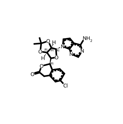 CC1(C)O[C@@H]2[C@H](O1)C([C@@H]1OC(=O)Cc3cc(Cl)ccc31)O[C@H]2n1ccc2c(N)ncnc21